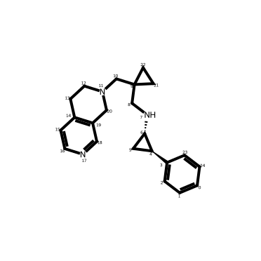 c1ccc([C@H]2C[C@@H]2NCC2(CN3CCc4ccncc4C3)CC2)cc1